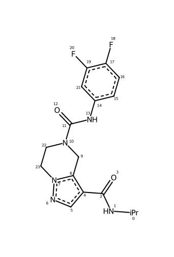 CC(C)NC(=O)c1cnn2c1CN(C(=O)Nc1ccc(F)c(F)c1)CC2